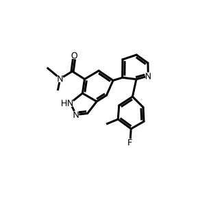 Cc1cc(-c2ncccc2-c2cc(C(=O)N(C)C)c3[nH]ncc3c2)ccc1F